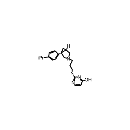 CC(C)c1ccc([C@@]23C[C@@H]2CN(CCCSc2nccc(O)n2)C3)cc1